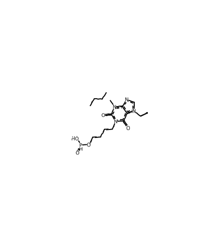 CCCC.CCn1cnc2c1c(=O)n(CCCCO[PH](=O)O)c(=O)n2C